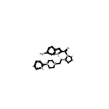 Cc1ccc2cc(C(=O)N3CCC[C@H]3CCN3CCN(c4ccccn4)CC3)[nH]c2c1